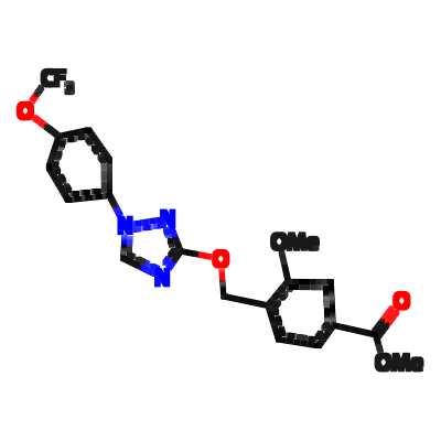 COC(=O)c1ccc(COc2ncn(-c3ccc(OC(F)(F)F)cc3)n2)c(OC)c1